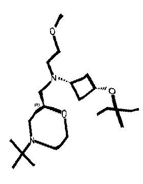 COCCN(C[C@@H]1CN(C(C)(C)C)CCO1)[C@H]1C[C@@H](OC(C)(C)C)C1